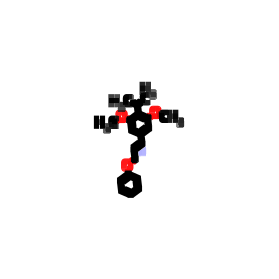 COc1cc(/C=C/COc2ccccc2)cc(OC)c1C(C)C